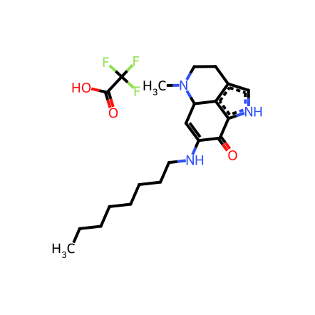 CCCCCCCCNC1=CC2c3c(c[nH]c3C1=O)CCN2C.O=C(O)C(F)(F)F